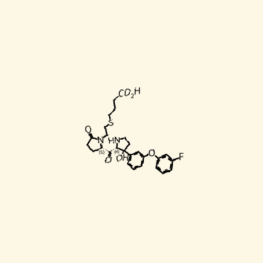 O=C(O)CCCSCCN1C(=O)CC[C@H]1C(=O)[C@@H]1NCCC1(O)c1cccc(Oc2cccc(F)c2)c1